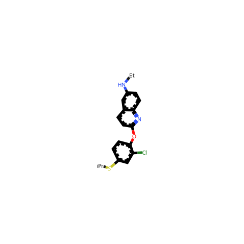 CCNc1ccc2nc(Oc3ccc(SC(C)C)cc3Cl)ccc2c1